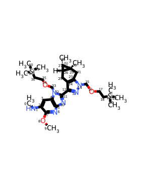 CNc1cc2c(nc1OC)nc(-c1nn(COCC[Si](C)(C)C)c3c1C[C@@H]1[C@H](C)[C@]1(C)C3)n2COCC[Si](C)(C)C